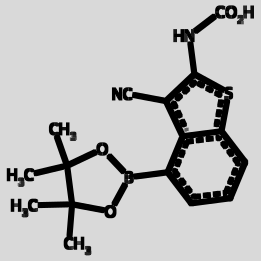 CC1(C)OB(c2cccc3sc(NC(=O)O)c(C#N)c23)OC1(C)C